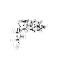 NCCN.O.O.O.O.O=P(O)(O)CP(=O)(O)O.O=P(O)(O)CP(=O)(O)O.O=P(O)(O)CP(=O)(O)O.O=P(O)(O)CP(=O)(O)O